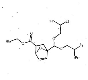 CCC(C)COC(=O)C1CC2(C(OCC(CC)C(C)C)OCC(CC)C(C)C)C=CC1O2